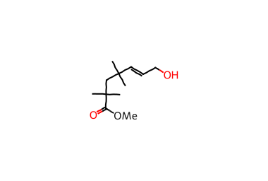 COC(=O)C(C)(C)CC(C)(C)/C=C/CO